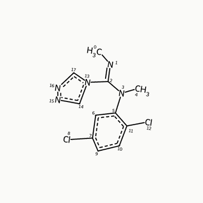 CN=C(N(C)c1cc(Cl)ccc1Cl)n1cnnc1